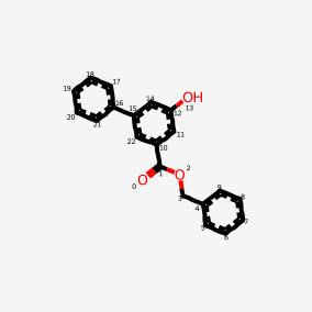 O=C(OCc1ccccc1)c1cc(O)cc(-c2ccccc2)c1